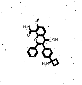 COc1ccc2c(=O)c(-c3ccc(C4(N)CCC4)cc3)c(-c3ccccc3)oc2c1C(N)=O.Cl